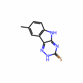 Cc1ccc2[nH]c3nc(=S)[nH]nc3c2c1